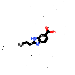 CCCc1nc2ccc(C(=O)O)cc2[nH]1